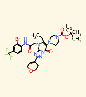 CCc1c(N2CCN(C(=O)OC(C)(C)C)CC2)c(=O)n2nc(C3=CCOCC3)nc2n1CC(=O)Nc1ccc(C(F)(F)F)cc1Br